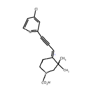 CC1(C)CN(C(=O)O)CC/C1=C\C#Cc1cc(Cl)ccn1